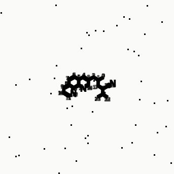 CC(CC1=CC2C=Cc3cccnc3C2N=C1)CC(C#N)C(C)C